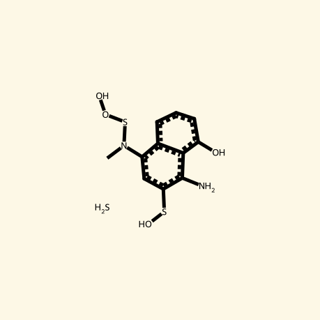 CN(SOO)c1cc(SO)c(N)c2c(O)cccc12.S